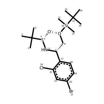 CC(C)(C)[S@+]([O-])N[C@H](CO[Si](C)(C)C(C)(C)C)c1ccc(Br)cc1Cl